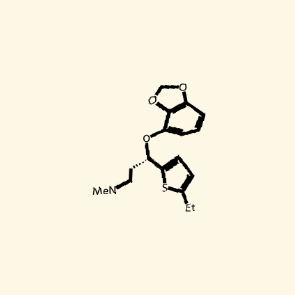 CCc1ccc([C@H](CCNC)Oc2cccc3c2OCO3)s1